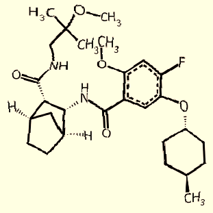 COc1cc(F)c(O[C@H]2CC[C@H](C)CC2)cc1C(=O)N[C@@H]1[C@H]2CC[C@H](C2)[C@@H]1C(=O)NCC(C)(C)OC